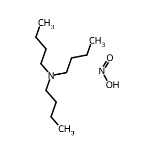 CCCCN(CCCC)CCCC.O=NO